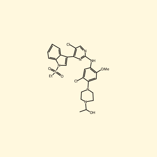 CCS(=O)(=O)n1cc(-c2nc(Nc3cc(Cl)c(N4CCN(C(C)O)CC4)cc3OC)ncc2Cl)c2ccccc21